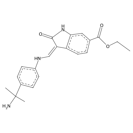 CCOC(=O)c1ccc2c(c1)NC(=O)C2=CNc1ccc(C(C)(C)N)cc1